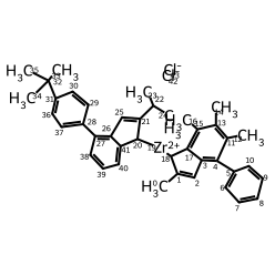 CC1=Cc2c(-c3ccccc3)c(C)c(C)c(C)c2[CH]1[Zr+2][CH]1C(C(C)C)=Cc2c(-c3ccc(C(C)(C)C)cc3)cccc21.[Cl-].[Cl-]